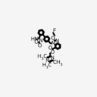 Cc1nc(C)c(COC(=O)c2cccc3nc(OCCF)n(Cc4ccc(-c5ccccc5-c5nc(=O)o[nH]5)cc4)c23)nc1C